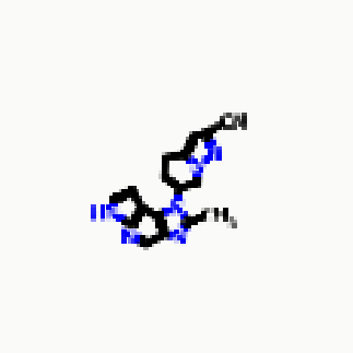 Cc1nc2cnc3[nH]ccc3c2n1C1CCc2cc(C#N)nn2C1